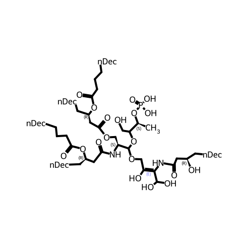 CCCCCCCCCCCCCC(=O)O[C@H](CCCCCCCCCCC)CC(=O)N[C@@H](COC(=O)C[C@@H](CCCCCCCCCCC)OC(=O)CCCCCCCCCCCCC)C(OC/C(O)=C(\NC(=O)C[C@H](O)CCCCCCCCCCC)C(O)O)OC(CO)[C@H](C)OP(=O)(O)O